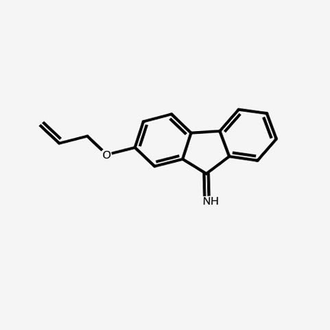 C=CCOc1ccc2c(c1)C(=N)c1ccccc1-2